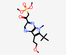 COCCc1c(C(C)(C)C)n(C)c2nc(C(=O)CP(=O)(OC)OC)cnc12